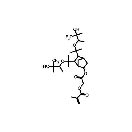 C=C(C)C(=O)OCC(=O)OC1CC2CC1C(C(C)(C)OC(C)C(C)(O)C(F)(F)F)C2C(C)(C)OC(C)C(C)(O)C(F)(F)F